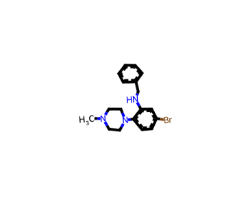 CN1CCN(c2ccc(Br)cc2NCc2ccccc2)CC1